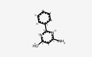 Nc1cc(O)nc(-c2ccccc2)n1